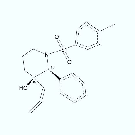 C=C=C[C@]1(O)CCCN(S(=O)(=O)c2ccc(C)cc2)[C@H]1c1ccccc1